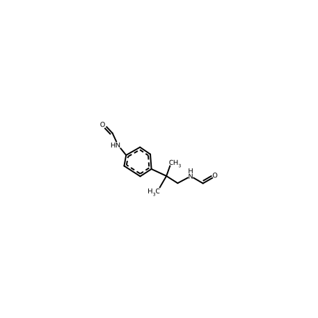 CC(C)(CNC=O)c1ccc(NC=O)cc1